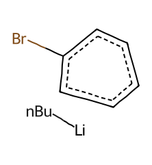 Brc1ccccc1.[Li][CH2]CCC